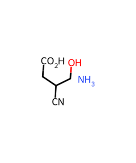 N.N#CC(CO)CC(=O)O